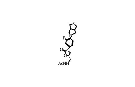 CC(=O)NC[C@H]1CN(c2ccc(N3CC4CSCC4C3)c(F)c2)C(=O)O1